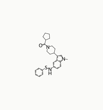 Cn1cc(C2CCN(C(=O)C3CCCC3)CC2)c2cc(NSc3ccccc3)ccc21